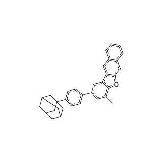 Cc1cc(-c2ccc(C34CC5CC(CC(C5)C3)C4)cc2)cc2c1oc1cc3ccccc3cc12